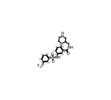 O=C1NCC2CNCCN2c2ccc(NS(=O)(=O)c3cccc(C(F)(F)F)c3)cc21